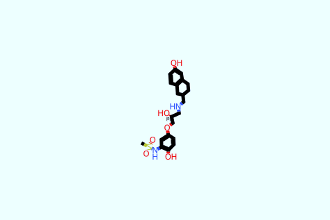 CS(=O)(=O)Nc1cc(OC[C@H](O)CNCC2CCc3cc(O)ccc3C2)ccc1O